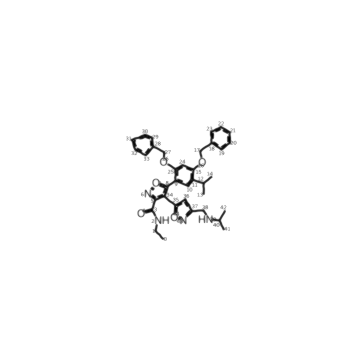 CCNC(=O)c1noc(-c2cc(C(C)C)c(OCc3ccccc3)cc2OCc2ccccc2)c1-c1cc(CNC(C)C)no1